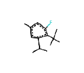 Cc1cc(F)c(C(C)(C)C)c(C(C)C)c1